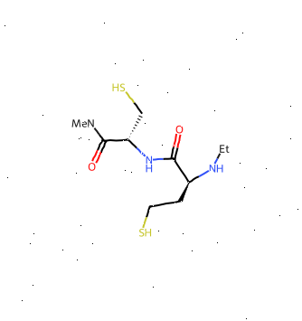 CCN[C@@H](CCS)C(=O)N[C@@H](CS)C(=O)NC